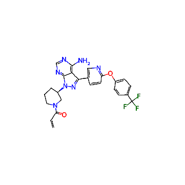 C=CC(=O)N1CCC[C@@H](n2nc(-c3ccc(Oc4ccc(C(F)(F)F)cc4)nc3)c3c(N)ncnc32)C1